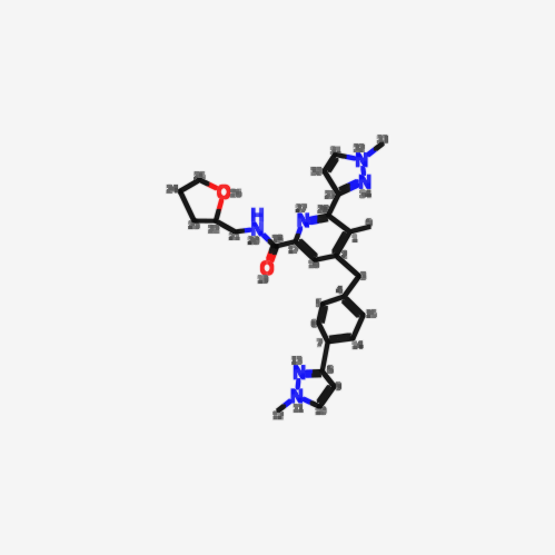 Cc1c(Cc2ccc(-c3ccn(C)n3)cc2)cc(C(=O)NCC2CCCO2)nc1-c1ccn(C)n1